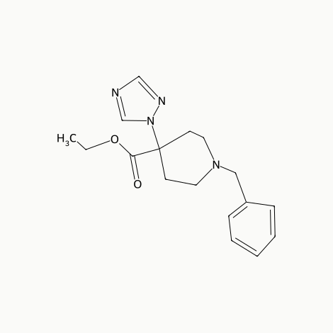 CCOC(=O)C1(n2cncn2)CCN(Cc2ccccc2)CC1